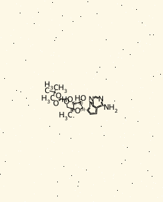 CC(C)(C)OC(=O)OC[C@@]1(C)O[C@@H](c2ccc3c(N)ncnn23)[C@H](O)[C@@H]1O